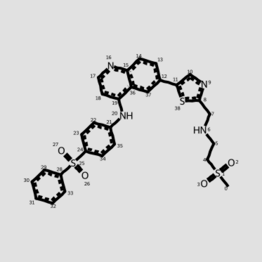 CS(=O)(=O)CCNCc1ncc(-c2ccc3nccc(Nc4ccc(S(=O)(=O)c5ccccc5)cc4)c3c2)s1